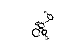 CCN1CCCC(COc2nc(-c3ccc(C#N)cc3)c(C3CCCCCCCC3)c3nccn23)C1